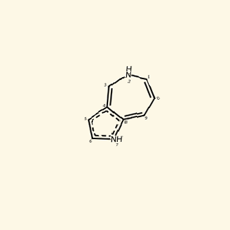 C1=CNC=c2cc[nH]c2=C1